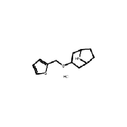 Cl.c1csc(COC2CC3CCC(C2)N3)c1